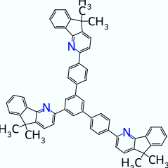 CC1(C)c2ccccc2-c2nc(-c3ccc(-c4cc(-c5ccc(-c6ccc7c(n6)-c6ccccc6C7(C)C)cc5)cc(-c5ccc6c(n5)-c5ccccc5C6(C)C)c4)cc3)ccc21